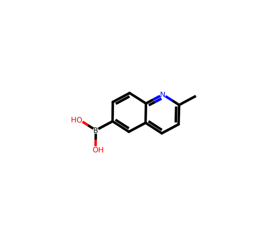 Cc1ccc2cc(B(O)O)ccc2n1